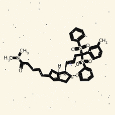 Cc1cccc(C(C/C=C/[C@H]2[C@H](O)CC3=CC(CCCCC(=O)N(C)C)C[C@H]32)(S(=O)(=O)c2ccccc2)S(=O)(=O)c2ccccc2)c1